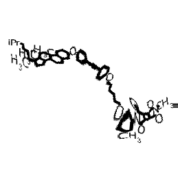 Cc1cc(OCCCCCCOc2ccc(C#Cc3ccc(OC4CCC5(C)C(CCC6C5CCC5(C)C(C(C)CCCC(C)C)CCC65)C4)cc3)cc2)cc(N2C(=O)C3C4C(=O)N(C)C(=O)C4C3C2=O)c1